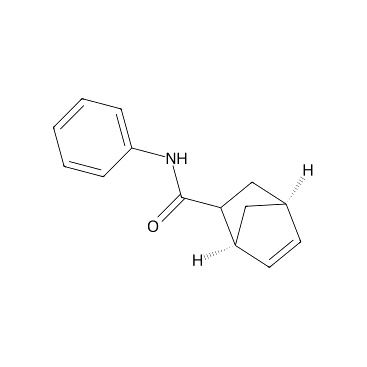 O=C(Nc1ccccc1)C1C[C@H]2C=C[C@@H]1C2